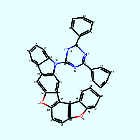 c1ccc(C2=NC(c3ccccc3)NC(n3c4ccccc4c4cc5oc6ccc7oc8ccccc8c7c6c5cc43)=N2)cc1